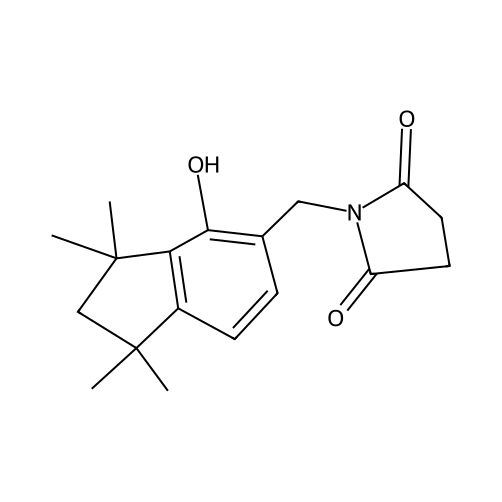 CC1(C)CC(C)(C)c2c1ccc(CN1C(=O)CCC1=O)c2O